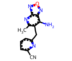 Cc1nc2nonc2c(N)c1Cc1cccc(C#N)n1